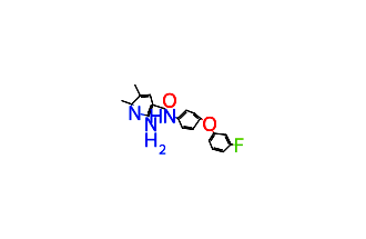 Cc1cc(C(=O)Nc2ccc(Oc3cccc(F)c3)cc2)c(N)nc1C